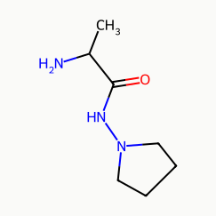 CC(N)C(=O)NN1CCCC1